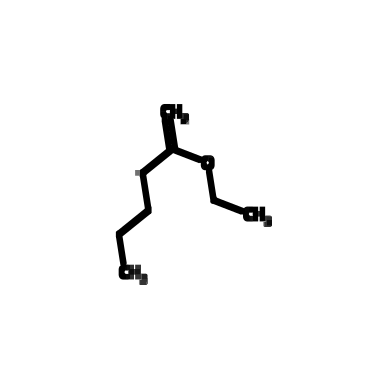 C=C([CH]CCC)OCC